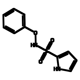 O=S(=O)(NOc1ccccc1)c1ccc[nH]1